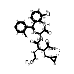 Cc1ccccc1C1=N[C@H](NC(=O)[C@H](CCC(F)(F)F)[C@H](CC2CC2)C(N)=O)C(=O)Nc2c(Cl)cccc21